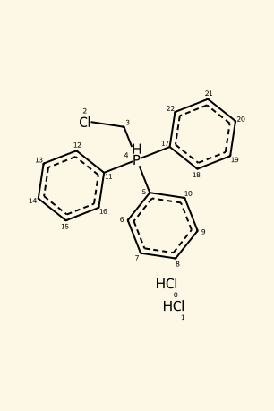 Cl.Cl.ClC[PH](c1ccccc1)(c1ccccc1)c1ccccc1